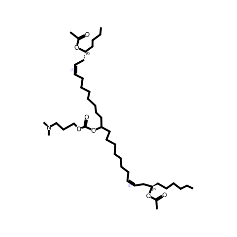 CCCCCC[C@H](C/C=C\CCCCCCCC(CCCCCCC/C=C\C[C@@H](CCCC)OC(C)=O)OC(=O)OCCCN(C)C)OC(C)=O